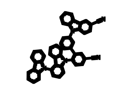 N#Cc1ccc(-n2c3ccccc3c3c(-n4c5ccccc5c5ccccc54)cccc32)c(-c2cccc(-n3c4ccccc4c4cc(C#N)ccc43)c2)c1